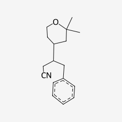 CC1(C)CC(C(CC#N)Cc2ccccc2)CCO1